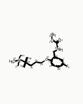 CC(C)(C)OC(=O)NCc1cc(F)ccc1OCCCC(C)(C)[Si](C)(C)O